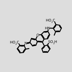 Cc1cccc(C(=O)O)c1/N=c1\ccc2c(-c3ccccc3S(=O)(=O)O)c3ccc(Nc4c(C)cccc4C(=O)O)cc3oc-2c1